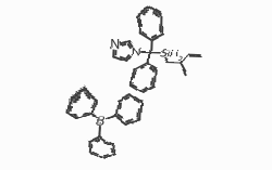 C=CC(C)C[SiH2]C(c1ccccc1)(c1ccccc1)n1ccnc1.c1ccc(B(c2ccccc2)c2ccccc2)cc1